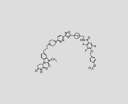 COc1ccc(COc2c(F)cc(C(=O)NCC34CCC(c5nc(-c6ccc(N7CCN(CCCc8ccc9c(c8)n(C)c(=O)n9C8CCC(=O)NC8=O)CC7)nn6)no5)(CC3)CC4)c(F)c2F)cc1